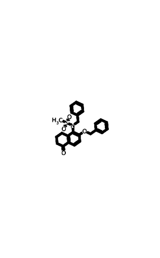 CS(=O)(=O)N(Cc1ccccc1)c1c(OCc2ccccc2)ccc2c1CCCC2=O